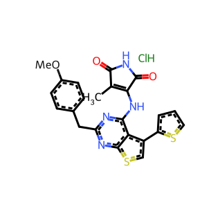 COc1ccc(Cc2nc(NC3=C(C)C(=O)NC3=O)c3c(-c4cccs4)csc3n2)cc1.Cl